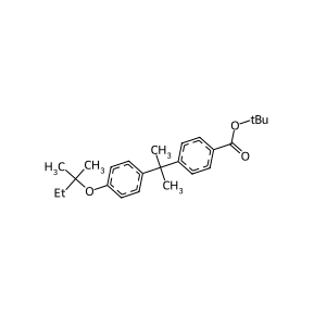 CCC(C)(C)Oc1ccc(C(C)(C)c2ccc(C(=O)OC(C)(C)C)cc2)cc1